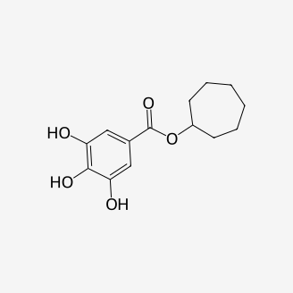 O=C(OC1CCCCCC1)c1cc(O)c(O)c(O)c1